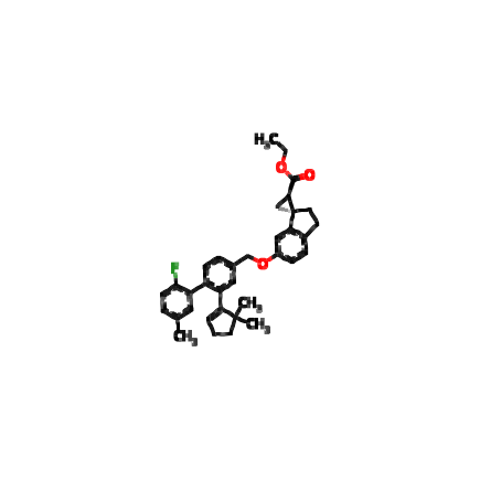 CCOC(=O)[C@@H]1C[C@@]12CCc1ccc(OCc3ccc(-c4cc(C)ccc4F)c(C4=CCCC4(C)C)c3)cc12